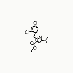 CCOC(=O)c1cc(C(C)C)nn1Cc1ccc(Cl)cc1Cl